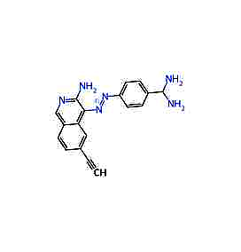 C#Cc1ccc2cnc(N)c(/N=N/c3ccc(C(N)N)cc3)c2c1